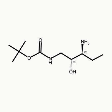 CC[C@H](N)[C@H](O)CNC(=O)OC(C)(C)C